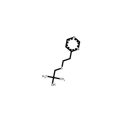 CC(C)(O)CSCCc1ccncn1